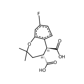 CC1(C)C[C@@H](C(=O)O)[C@H](C(=O)O)c2ccc(F)cc2O1